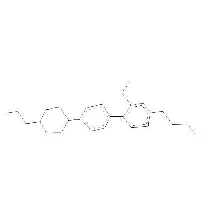 CCCC1CCC(c2ccc(-c3ccc(CCCO)cc3CC)cc2)CC1